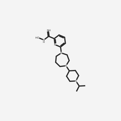 CC(C)N1CCC(N2CCCN(c3cccc(C(=N)NO)n3)CC2)CC1